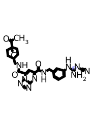 CC(=O)C12CCC(CNC(=O)c3cc(C(=O)NCc4cccc(N/C(N)=N/C#N)c4)nc4ncnn34)(CC1)CC2